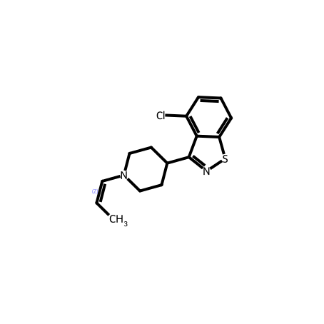 C/C=C\N1CCC(c2nsc3cccc(Cl)c23)CC1